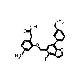 Cc1ccc(CC(=O)O)c(OCc2cc(-c3cccc(CN)c3)c3occc3c2F)c1